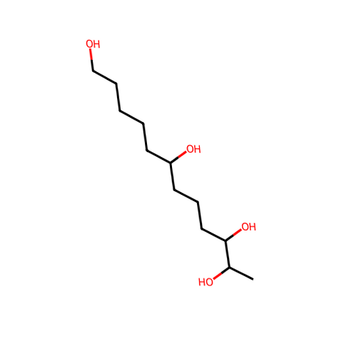 CC(O)C(O)CCCC(O)CCCCCO